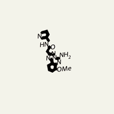 COc1cccc2c1nc(N)n1nc(CC(=O)NCc3cccnc3)nc21